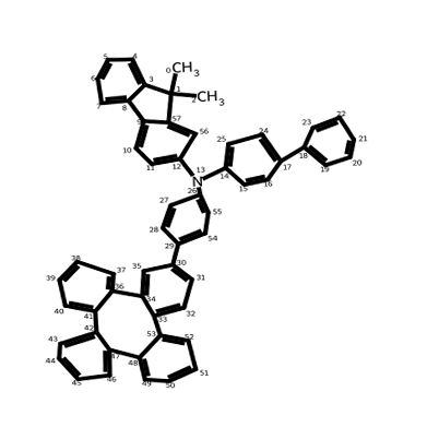 CC1(C)c2ccccc2-c2ccc(N(c3ccc(-c4ccccc4)cc3)c3ccc(-c4ccc5c(c4)-c4ccccc4-c4ccccc4-c4ccccc4-5)cc3)cc21